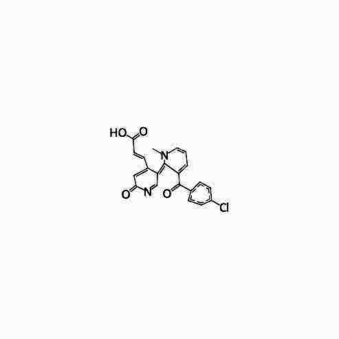 CN1C=CC=C(C(=O)c2ccc(Cl)cc2)C1=C1C=NC(=O)C=C1C=CC(=O)O